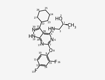 C[C@H](O)CNc1nc(Oc2ccc(F)cc2F)nc2[nH]nc(C3CCCCC3)c12